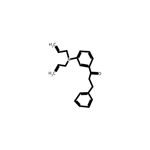 C=CCN(CC=C)c1cccc(C(=O)CCc2ccccc2)c1